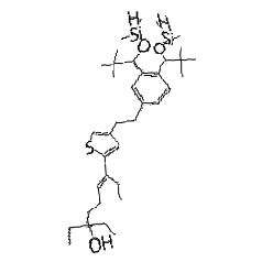 CC/C(=C\CCC(O)(CC)CC)c1cc(CCc2ccc(C(O[SiH](C)C)C(C)(C)C)c(C(O[SiH](C)C)C(C)(C)C)c2)cs1